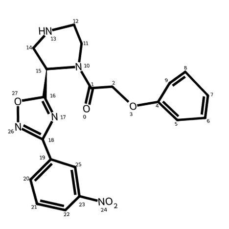 O=C(COc1ccccc1)N1CCNC[C@@H]1c1nc(-c2cccc([N+](=O)[O-])c2)no1